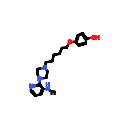 CCNc1cccnc1N1CCN(CCCCCCOc2ccc(O)cc2)CC1